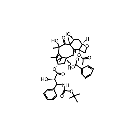 CC(=O)O[C@@]12CO[C@@H]1C[C@H](O)[C@@]1(C)C(=O)[C@@](C)(O)C3=C(C)[C@@H](OC(=O)[C@H](O)C(NC(=O)OC(C)(C)C)c4ccccc4)C[C@@](O)([C@@H](OC(=O)c4ccccc4)[C@H]21)C3(C)C